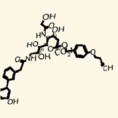 C#CCCOc1ccc(CO[C@]2(C(=O)O)C[C@H](O)[C@@H](NC(=O)CO)[C@H]([C@H](O)[C@H](O)CNC(=O)Cc3cccc(-c4cccc(O)c4)c3)O2)cc1